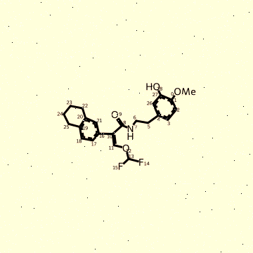 COc1ccc(CCNC(=O)C(=COC(F)F)c2ccc3c(c2)CCCC3)cc1O